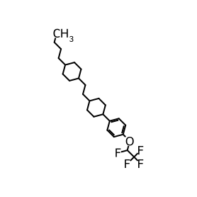 CCCCC1CCC(CCC2CCC(c3ccc(OC(F)C(F)(F)F)cc3)CC2)CC1